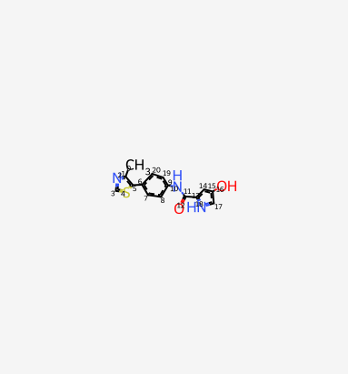 Cc1ncsc1-c1ccc(NC(=O)c2cc(O)c[nH]2)cc1